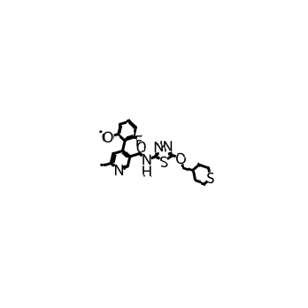 COc1cccc(F)c1-c1cc(C)ncc1C(=O)Nc1nnc(OCC2CCSCC2)s1